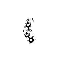 COc1ncc(C(=O)Nc2nc(-c3ccccc3Cl)cs2)cn1